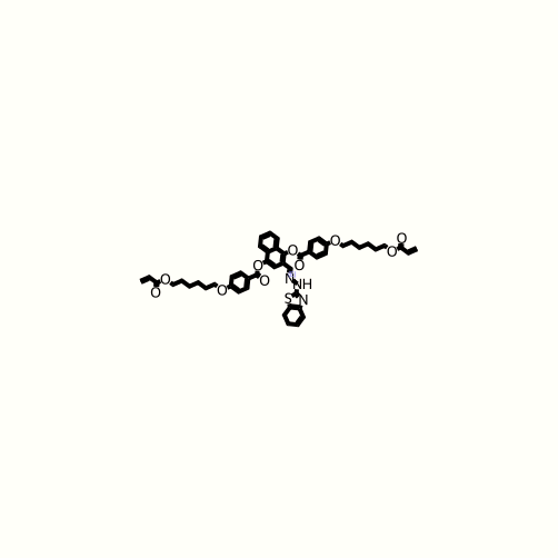 C=CC(=O)OCCCCCCOc1ccc(C(=O)Oc2cc(/C=N/Nc3nc4c(s3)CCC=C4)c(OC(=O)c3ccc(OCCCCCCOC(=O)C=C)cc3)c3ccccc23)cc1